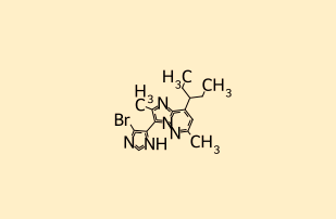 CCC(CC)c1cc(C)nn2c(-c3[nH]cnc3Br)c(C)nc12